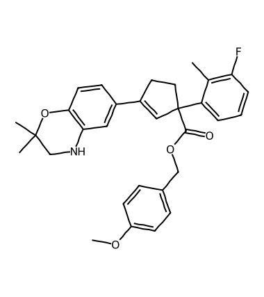 COc1ccc(COC(=O)C2(c3cccc(F)c3C)C=C(c3ccc4c(c3)NCC(C)(C)O4)CC2)cc1